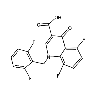 O=C(O)c1cn(Cc2c(F)cccc2F)c2c(F)ccc(F)c2c1=O